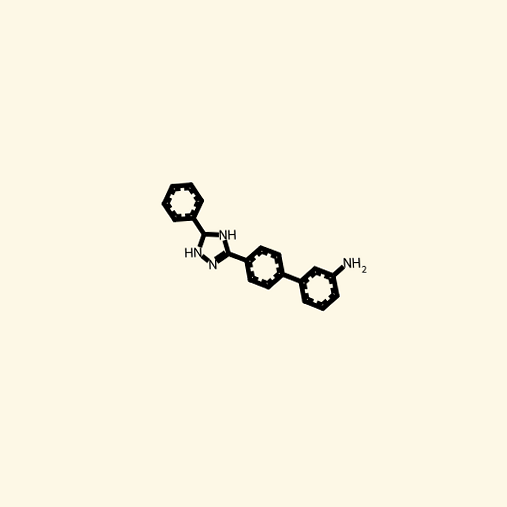 Nc1cccc(-c2ccc(C3=NNC(c4ccccc4)N3)cc2)c1